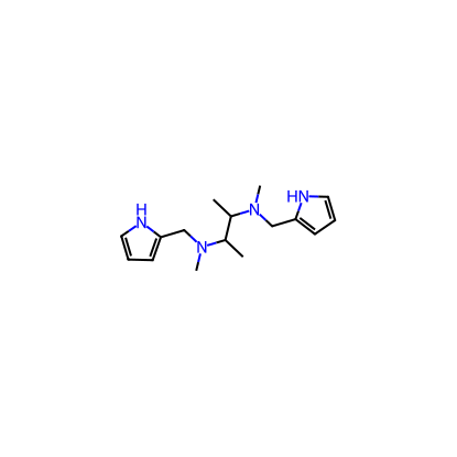 CC(C(C)N(C)Cc1ccc[nH]1)N(C)Cc1ccc[nH]1